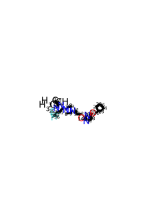 CC(C)(C)c1nc(N2CCN(CCCOc3nccc(OCc4ccccc4)n3)CC2)cc(C(F)(F)F)n1